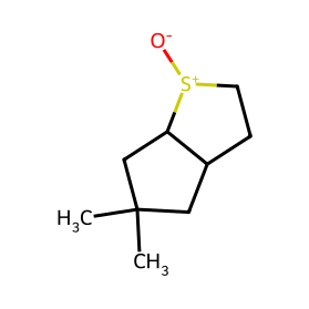 CC1(C)CC2CC[S+]([O-])C2C1